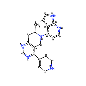 CC1Cc2ncnc(C3=CCNCC3)c2CN1c1ccnc2[nH]ccc12